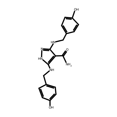 NC(=O)c1c(NCc2ccc(O)cc2)n[nH]c1NCc1ccc(O)cc1